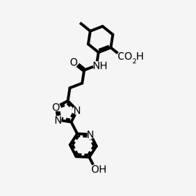 CC1CCC(C(=O)O)=C(NC(=O)CCc2nc(-c3ccc(O)cn3)no2)C1